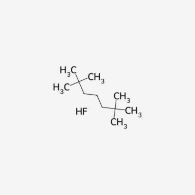 CC(C)(C)CCCC(C)(C)C.F